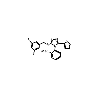 COc1ccccc1-n1c(SCc2cc(F)cc(F)c2)nnc1-c1cccs1